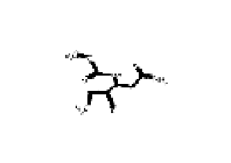 CCC(=O)C(CC(N)=O)NC(=O)OC